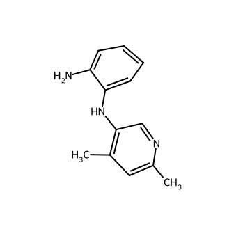 Cc1cc(C)c(Nc2ccccc2N)cn1